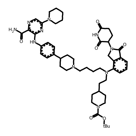 CC(C)(C)OC(=O)N1CCC(CCN(CCCCN2CCC(c3ccc(Nc4nc(N5CCCCC5)cnc4C(N)=O)cc3)CC2)c2cccc3c2CN(C2CCC(=O)NC2=O)C3=O)CC1